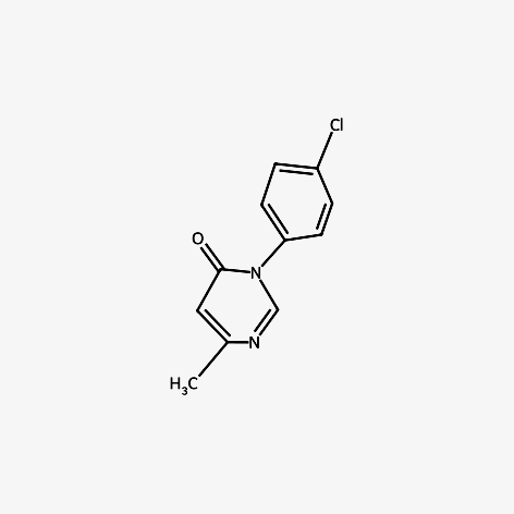 Cc1cc(=O)n(-c2ccc(Cl)cc2)cn1